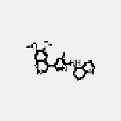 COc1cc2nncc(-c3cnc(NC4CCCc5ncccc54)c(C)c3)c2cc1OC